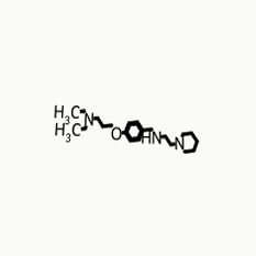 CCN(CC)CCCOc1ccc(CNCCN2CCCCC2)cc1